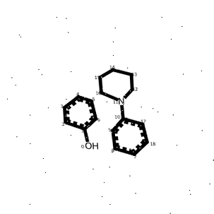 Oc1ccccc1.c1ccc(N2CCCCC2)cc1